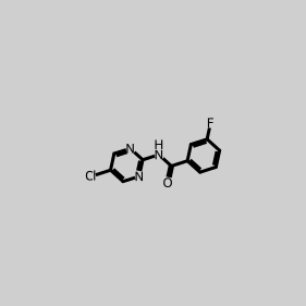 O=C(Nc1ncc(Cl)cn1)c1cccc(F)c1